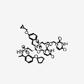 CC(NS(=O)(=O)CC[C@@H](OCn1ccc(=O)[nH]c1=O)N(Cc1cccc(OCC2CC2)c1)S(=O)(=O)CCCOCn1ccc(=O)[nH]c1=O)c1cccc(OC2CCCC2)c1